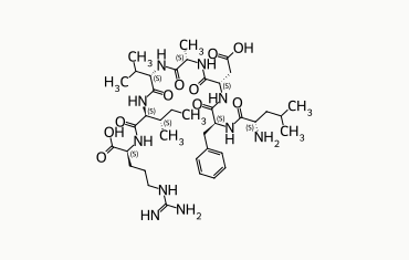 CC[C@H](C)[C@H](NC(=O)[C@@H](NC(=O)[C@H](C)NC(=O)[C@H](CC(=O)O)NC(=O)[C@H](Cc1ccccc1)NC(=O)[C@@H](N)CC(C)C)C(C)C)C(=O)N[C@@H](CCCNC(=N)N)C(=O)O